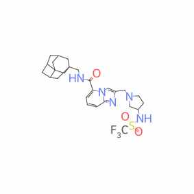 O=C(NCC12CC3CC4CC(C1)C4(C3)C2)c1cccc2nc(CN3CCC(NS(=O)(=O)C(F)(F)F)C3)cn12